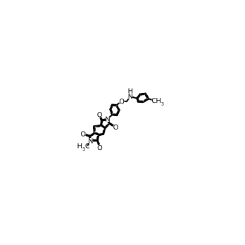 Cc1ccc(NCOc2ccc(-n3c(=O)c4cc5c(=O)n(C)c(=O)c5cc4c3=O)cc2)cc1